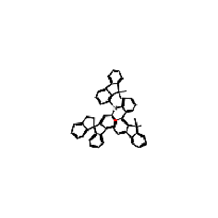 CC1(C)c2ccccc2-c2cccc(-c3ccccc3N(c3ccc4c(c3)C3(CCc5ccccc53)c3ccccc3-4)c3cccc4c3C(C)(C)c3ccccc3-4)c21